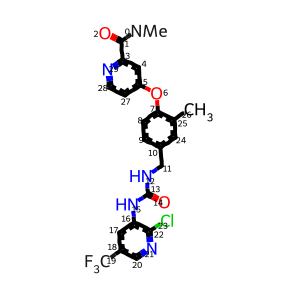 CNC(=O)c1cc(Oc2ccc(CNC(=O)Nc3cc(C(F)(F)F)cnc3Cl)cc2C)ccn1